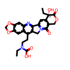 CCN(CCc1c2c(nc3cc4c(cc13)OCO4)-c1cc3c(c(=O)n1C2)COC(=O)[C@]3(O)CC)C(=O)O